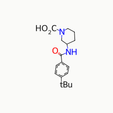 CC(C)(C)c1ccc(C(=O)NC2CCCN(C(=O)O)C2)cc1